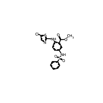 COC(=O)c1cc(NS(=O)(=O)c2ccccc2)ccc1Nc1ncc(Cl)s1